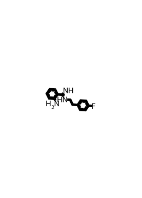 N=C(NCCc1ccc(F)cc1)c1ccccc1N